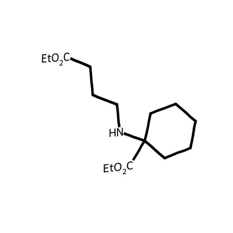 CCOC(=O)CCCNC1(C(=O)OCC)CCCCC1